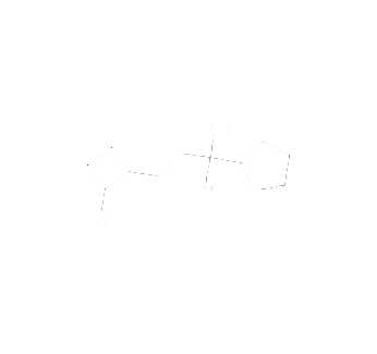 CCC(C)(OCC1CCC1C)C1CCCO1